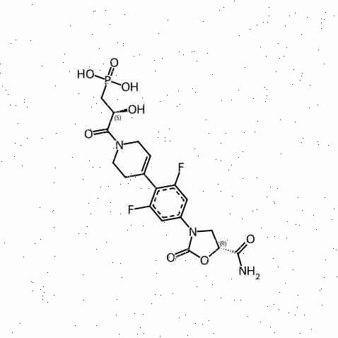 NC(=O)[C@H]1CN(c2cc(F)c(C3=CCN(C(=O)[C@H](O)CP(=O)(O)O)CC3)c(F)c2)C(=O)O1